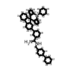 NC(NCc1ccc(-c2ccccc2)cc1)c1cccc(-c2ccc3c(c2)C2(c4ccccc4-3)c3ccccc3N(c3ccccc3)c3ccccc32)c1